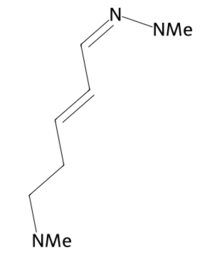 CNCC/C=C/C=N\NC